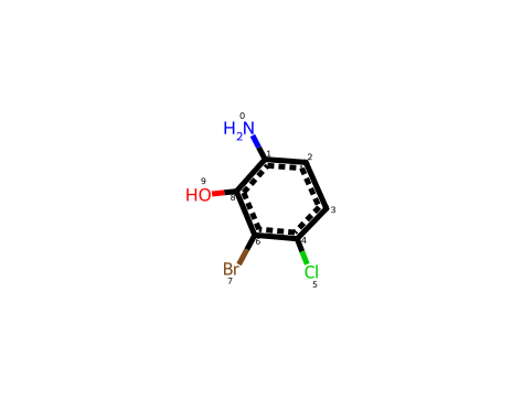 Nc1ccc(Cl)c(Br)c1O